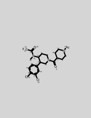 CC(=O)N1CCC(C(=O)N2CCC(N(C)C(=O)C(F)(F)F)C(c3ccc(Cl)c(Cl)c3)C2)CC1